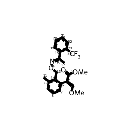 CO/C=C(/C(=O)OC)c1cccc(C)c1CO/N=C(\C)c1ccccc1C(F)(F)F